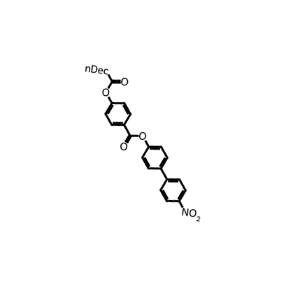 CCCCCCCCCCC(=O)Oc1ccc(C(=O)Oc2ccc(-c3ccc([N+](=O)[O-])cc3)cc2)cc1